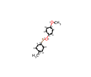 COc1ccc(OSc2ccc(C)cc2)cc1